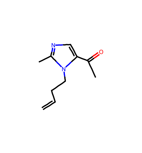 C=CCCn1c(C(C)=O)cnc1C